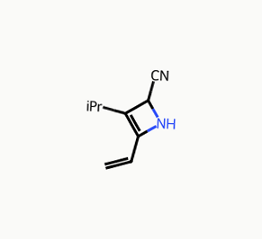 C=CC1=C(C(C)C)C(C#N)N1